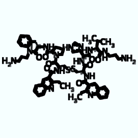 CCc1nc2ccccc2cc1C(=O)N[C@@H](CSSC[C@H](NC(=O)c1cc2ccccc2nc1CC)C(=O)N1CCC[C@H]1C(=O)N[C@@H](Cc1ccccc1)C(=O)NCCCN)C(=O)N[C@H](C(=O)N[C@H](C(=O)NCCCN)C(C)C)c1c[nH]cn1